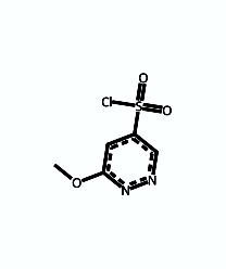 COc1cc(S(=O)(=O)Cl)cnn1